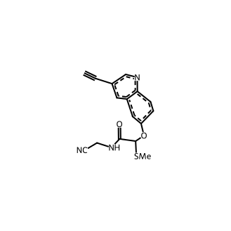 C#Cc1cnc2ccc(OC(SC)C(=O)NCC#N)cc2c1